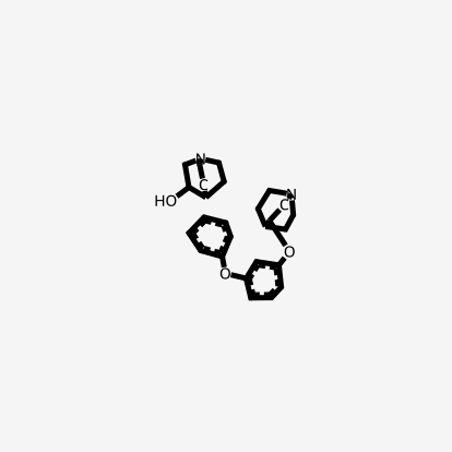 OC1CN2CCC1CC2.c1ccc(Oc2cccc(OC3CN4CCC3CC4)c2)cc1